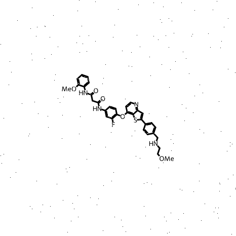 COCCNCc1ccc(-c2cc3nccc(Oc4ccc(NC(=O)CC(=O)Nc5ccccc5OC)cc4F)c3s2)cc1